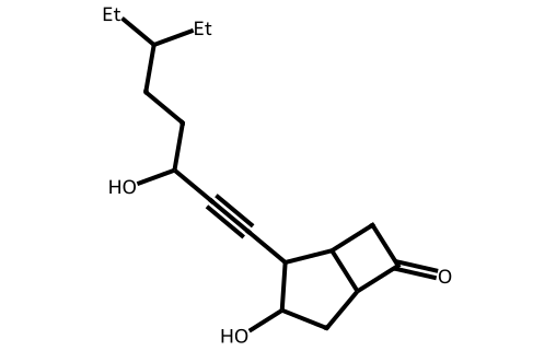 CCC(CC)CCC(O)C#CC1C(O)CC2C(=O)CC21